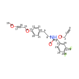 C#CCOC(C(=O)NCCc1ccc(OCC#COC)cc1)c1ccc(F)c(F)c1